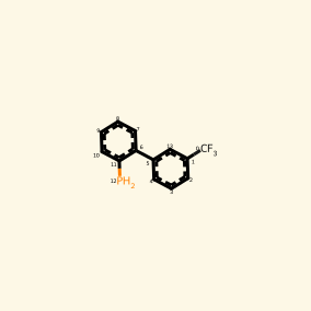 FC(F)(F)c1cccc(-c2ccccc2P)c1